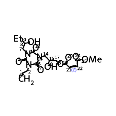 C=CCn1c(=O)n(CC(O)CC)c(=O)n(CC(O)COC(=O)/C=C\C(=O)OC)c1=O